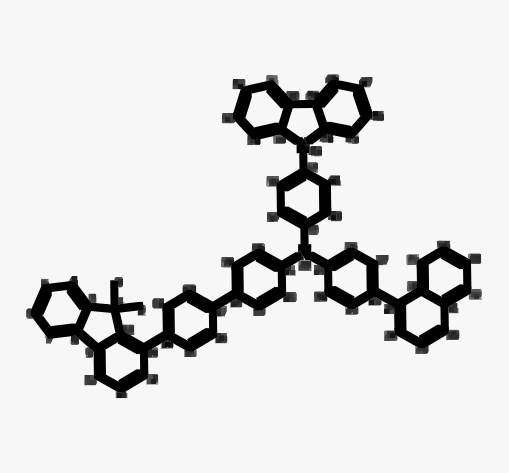 CC1(C)c2ccccc2-c2cccc(-c3ccc(-c4ccc(N(c5ccc(-c6cccc7ccccc67)cc5)c5ccc(-n6c7ccccc7c7ccccc76)cc5)cc4)cc3)c21